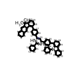 CC1(C)c2cc3ccccc3cc2-c2c(-c3ccc(/C(=C/Cc4ccc(-c5cccc6c7ccccc7n(-c7ccccc7)c56)cc4)NC(N)c4ccccc4)cc3)cccc21